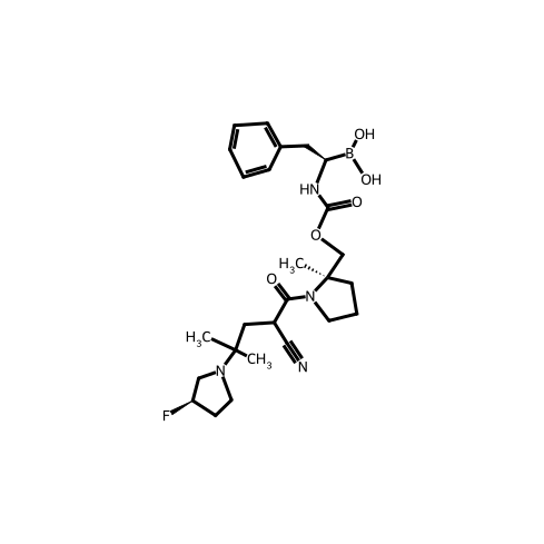 CC(C)(CC(C#N)C(=O)N1CCC[C@]1(C)COC(=O)N[C@@H](Cc1ccccc1)B(O)O)N1CC[C@@H](F)C1